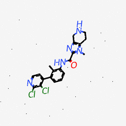 Cc1c(NC(=O)c2nc3c(n2C)CCNC3)cccc1-c1ccnc(Cl)c1Cl